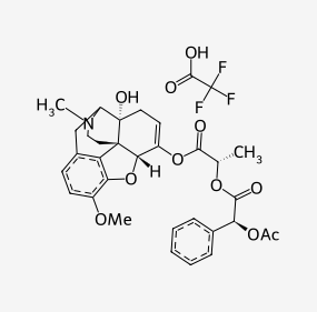 COc1ccc2c3c1O[C@H]1C(OC(=O)[C@H](C)OC(=O)[C@@H](OC(C)=O)c4ccccc4)=CC[C@]4(O)C(C2)N(C)CC[C@]314.O=C(O)C(F)(F)F